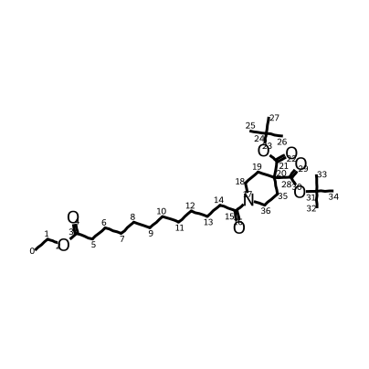 CCOC(=O)CCCCCCCCCCC(=O)N1CCC(C(=O)OC(C)(C)C)(C(=O)OC(C)(C)C)CC1